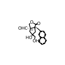 O=C[C@]12COC(=O)[C@@]1(Cc1ccc3ccccc3c1)C[C@](O)(CO)C2